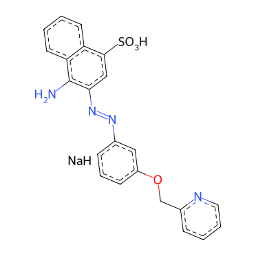 Nc1c(/N=N/c2cccc(OCc3ccccn3)c2)cc(S(=O)(=O)O)c2ccccc12.[NaH]